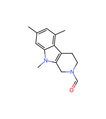 Cc1cc(C)c2c3c(n(C)c2c1)CN(C=O)CC3